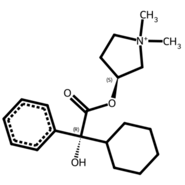 C[N+]1(C)CC[C@H](OC(=O)[C@](O)(c2ccccc2)C2CCCCC2)C1